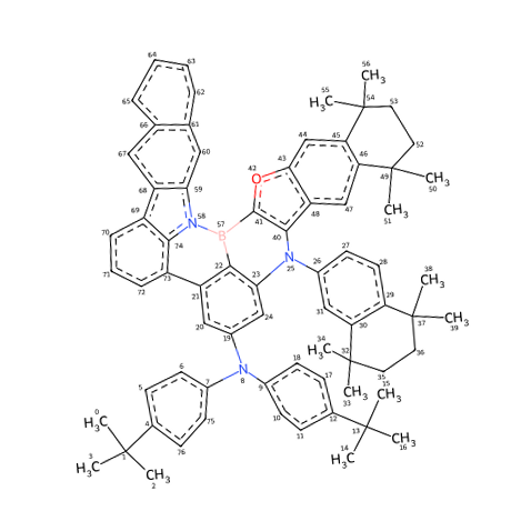 CC(C)(C)c1ccc(N(c2ccc(C(C)(C)C)cc2)c2cc3c4c(c2)N(c2ccc5c(c2)C(C)(C)CCC5(C)C)c2c(oc5cc6c(cc25)C(C)(C)CCC6(C)C)B4n2c4cc5ccccc5cc4c4cccc-3c42)cc1